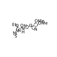 CCOc1cn(-c2cscn2)nc1C(=O)Nc1ccc(Oc2ccnc3cc(OC)c(OC)cc23)cn1